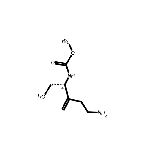 C=C(CCN)[C@H](CO)NC(=O)OC(C)(C)C